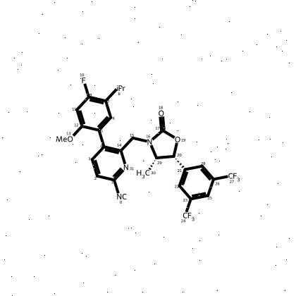 [C-]#[N+]c1ccc(-c2cc(C(C)C)c(F)cc2OC)c(CN2C(=O)O[C@H](c3cc(C(F)(F)F)cc(C(F)(F)F)c3)[C@@H]2C)n1